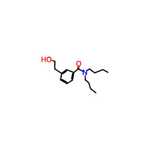 CCCCN(CCCC)C(=O)c1cccc(CCO)c1